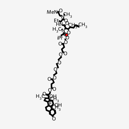 C/C=C/C[C@@H](C)[C@@H](OC(=O)OCOC(=O)CCC(=O)OCCOCCOCCOC(=O)CCC(=O)OCC(=O)[C@@]1(O)[C@H](C)CC2C3CCC4=CC(=O)C=C[C@]4(C)[C@@]3(F)[C@@H](O)C[C@@]21C)C(C(=O)NC(CC)C(=O)N(C)CC(=O)NC)N(C)C(=O)CC(C)C